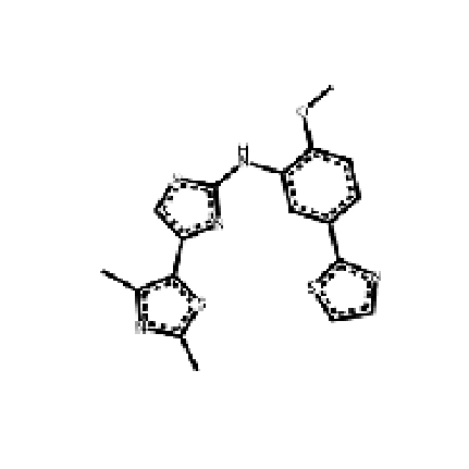 COc1ccc(-c2nccs2)cc1Nc1nc(-c2sc(C)nc2C)cs1